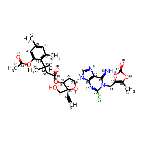 C#C[C@]1(CO)O[C@@H](n2cnc3c(=N)n(Cc4oc(=O)oc4C)c(Cl)nc32)C[C@@H]1OC(=O)CC(C)(C)c1c(C)cc(C)cc1OC(C)=O